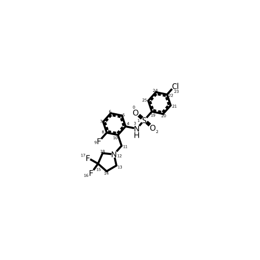 O=S(=O)(Nc1cccc(F)c1CN1CCC(F)(F)C1)c1ccc(Cl)cc1